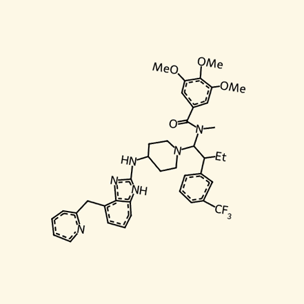 CCC(c1cccc(C(F)(F)F)c1)C(N1CCC(Nc2nc3c(Cc4ccccn4)cccc3[nH]2)CC1)N(C)C(=O)c1cc(OC)c(OC)c(OC)c1